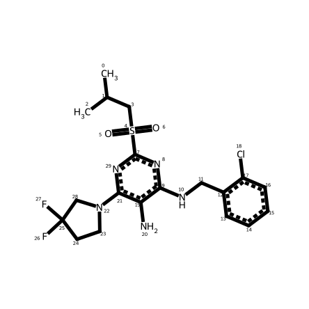 CC(C)CS(=O)(=O)c1nc(NCc2ccccc2Cl)c(N)c(N2CCC(F)(F)C2)n1